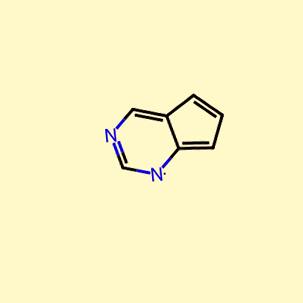 C1=CC2=CN=C[N]C2=C1